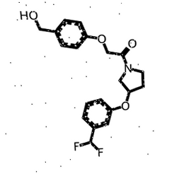 O=C(COc1ccc(CO)cc1)N1CCC(Oc2cccc(C(F)F)c2)C1